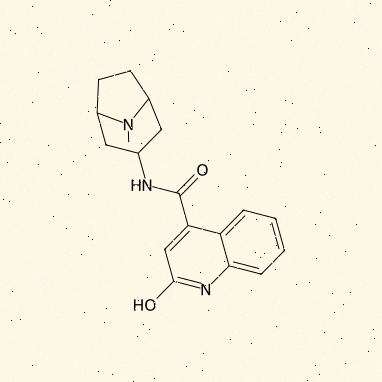 CN1C2CCC1CC(NC(=O)c1cc(O)nc3ccccc13)C2